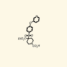 CCOC(=O)C1(S(=O)(=O)c2ccc(Oc3cccnc3)cc2)CCN(C(=O)O)CC1